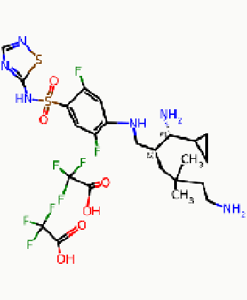 CC(C)(CCN)C[C@@H](CNc1cc(F)c(S(=O)(=O)Nc2ncns2)cc1F)[C@H](N)C1CC1.O=C(O)C(F)(F)F.O=C(O)C(F)(F)F